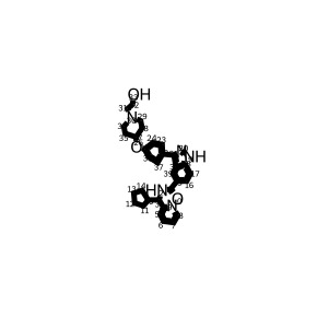 O=C(NC(c1ccccn1)C1CCCC1)c1ccc2[nH]nc(-c3ccc(OC4CCN(CCO)CC4)cc3)c2c1